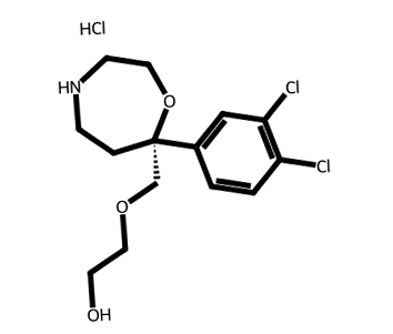 Cl.OCCOC[C@]1(c2ccc(Cl)c(Cl)c2)CCNCCO1